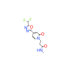 CNC(=O)CCn1ccc(-c2nnc(C(F)F)o2)cc1=O